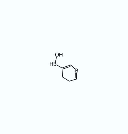 OBC1=CB=CCC1